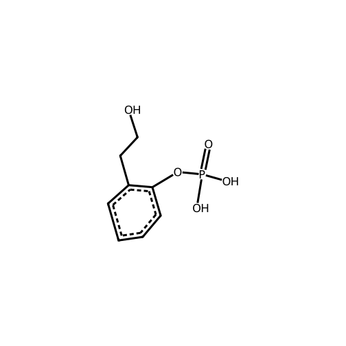 O=P(O)(O)Oc1ccccc1CCO